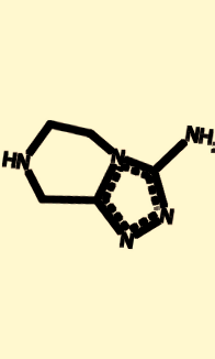 Nc1nnc2n1CCNC2